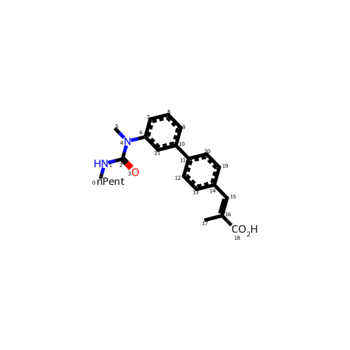 CCCCCNC(=O)N(C)c1cccc(-c2ccc(C=C(C)C(=O)O)cc2)c1